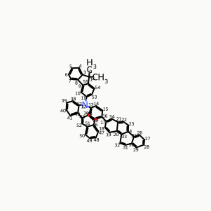 CC1(C)c2ccccc2-c2cc(N(c3ccc(-c4ccc5c(ccc6c7ccccc7ccc56)c4)cc3)c3ccccc3-c3ccc4ccccc4c3)ccc21